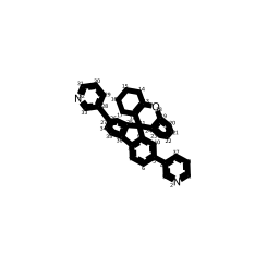 c1cncc(-c2ccc3c(c2)C2(C4=C(CCCC4)Oc4ccccc42)c2cc(-c4cccnc4)ccc2-3)c1